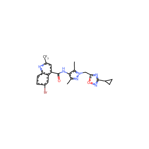 Cc1nn(Cc2nc(C3CC3)no2)c(C)c1NC(=O)c1cc(C(F)(F)F)nc2ccc(Br)cc12